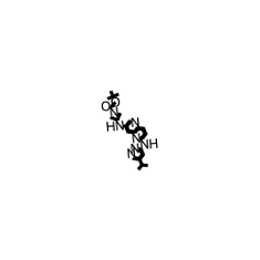 CC(C)c1cnnc(Nc2ccc3ncc(NC4CN(C(=O)OC(C)(C)C)C4)cc3n2)c1